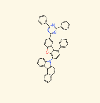 c1ccc(-c2nc(-c3ccccc3)nc(-c3ccc4oc5c(-n6c7ccccc7c7c8ccccc8ccc76)ccc(-c6ccccc6)c5c4c3)n2)cc1